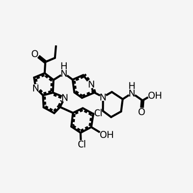 CCC(=O)c1cnc2ccc(-c3cc(Cl)c(O)c(Cl)c3)nc2c1Nc1ccc(N2CCCC(NC(=O)O)C2)nc1